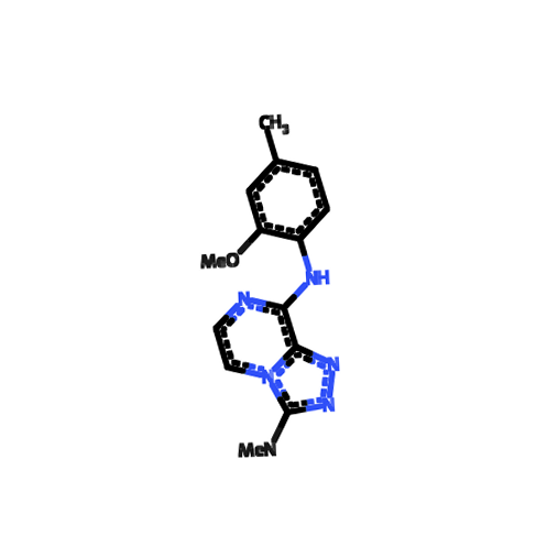 CNc1nnc2c(Nc3ccc(C)cc3OC)nccn12